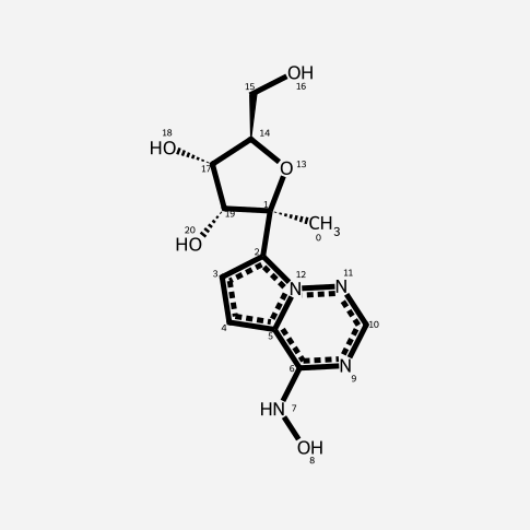 C[C@@]1(c2ccc3c(NO)ncnn23)O[C@H](CO)[C@@H](O)[C@H]1O